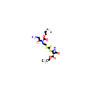 C=CCOC(=O)N(CCSC(=S)S[C@H]1NC(=O)[C@H]1C(=O)OCC(Cl)(Cl)Cl)C(=O)CN